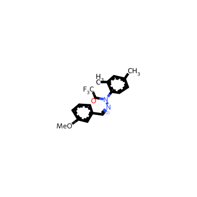 COc1cccc(/C=N\N(C(=O)C(F)(F)F)c2ccc(C)cc2C)c1